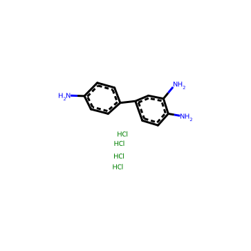 Cl.Cl.Cl.Cl.Nc1ccc(-c2ccc(N)c(N)c2)cc1